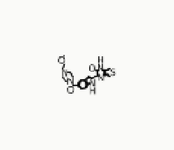 COCCN1CCN(C(=O)c2ccc3[nH]c(-c4nc5cscc5[nH]c4=O)cc3c2)CC1